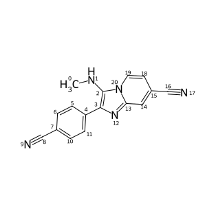 CNc1c(-c2ccc(C#N)cc2)nc2cc(C#N)ccn12